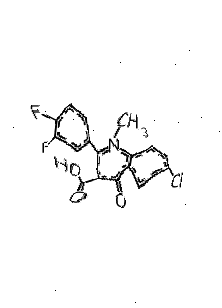 Cn1c(-c2ccc(F)c(F)c2)c(C(=O)O)c(=O)c2cc(Cl)ccc21